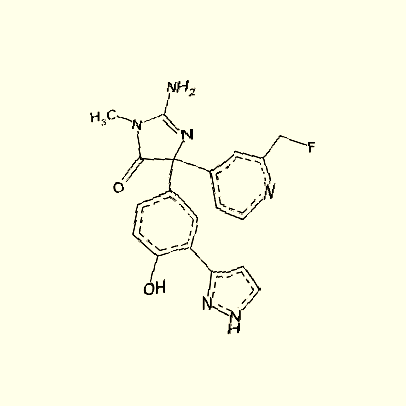 CN1C(=O)C(c2ccnc(CF)c2)(c2ccc(O)c(-c3cc[nH]n3)c2)N=C1N